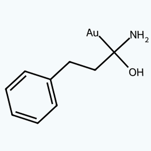 N[C](O)([Au])CCc1ccccc1